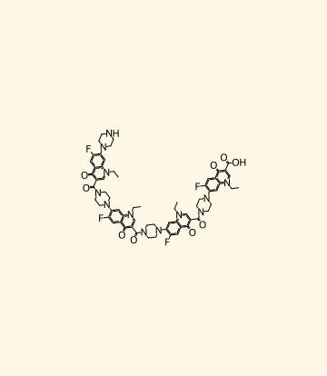 CCn1cc(C(=O)O)c(=O)c2cc(F)c(N3CCN(C(=O)c4cn(CC)c5cc(N6CCN(C(=O)c7cn(CC)c8cc(N9CCN(C(=O)c%10cn(CC)c%11cc(N%12CCNCC%12)c(F)cc%11c%10=O)CC9)c(F)cc8c7=O)CC6)c(F)cc5c4=O)CC3)cc21